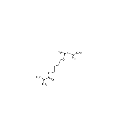 C=C(C)C(=O)OCCCCOC(C)O[SiH2]OC(C)=O